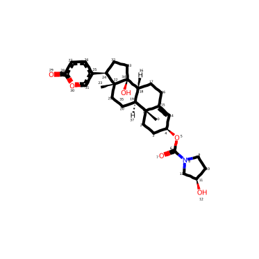 C[C@]12CC[C@H](OC(=O)N3CC[C@@H](O)C3)C=C1CC[C@@H]1[C@@H]2CC[C@]2(C)[C@@H](c3ccc(=O)oc3)CC[C@]12O